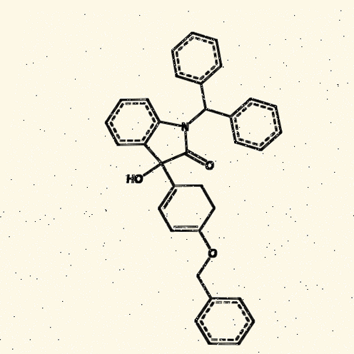 O=C1N(C(c2ccccc2)c2ccccc2)c2ccccc2C1(O)C1=CC=C(OCc2ccccc2)CC1